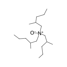 CCCC(C)C[N+]([O-])(CC(C)CCC)CC(C)CCC